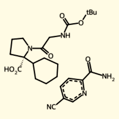 CC(C)(C)OC(=O)NCC(=O)N1CCC[C@]1(C(=O)O)C1CCCCC1.N#Cc1ccc(C(N)=O)nc1